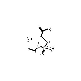 C=C(Br)CSP(O)(=S)OCC.[Na]